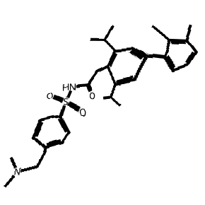 Cc1cccc(-c2cc(C(C)C)c(CC(=O)NS(=O)(=O)c3ccc(CN(C)C)cc3)c(C(C)C)c2)c1C